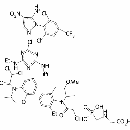 CC1COc2ccccc2N1C(=O)C(Cl)Cl.CCNc1nc(Cl)nc(NC(C)C)n1.CCc1cccc(C)c1N(C(=O)CCl)C(C)COC.Nc1c([N+](=O)[O-])cnn1-c1c(Cl)cc(C(F)(F)F)cc1Cl.O=C(O)CNCP(=O)(O)O